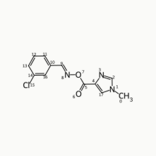 Cn1cnc(C(=O)ON=Cc2cccc(Cl)c2)c1